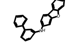 c1ccc(-c2cccc(Nc3ccc4c(c3)oc3ccccc34)c2)cc1